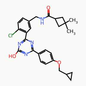 CC1(C)CC(C(=O)NCc2ccc(Cl)c(-c3nc(O)nc(-c4ccc(OCC5CC5)cc4)n3)c2)C1